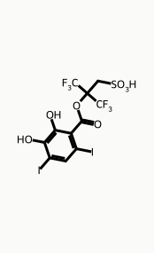 O=C(OC(CS(=O)(=O)O)(C(F)(F)F)C(F)(F)F)c1c(I)cc(I)c(O)c1O